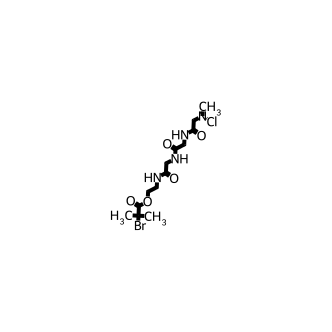 CN(Cl)CC(=O)NCC(=O)NCC(=O)NCCOC(=O)C(C)(C)Br